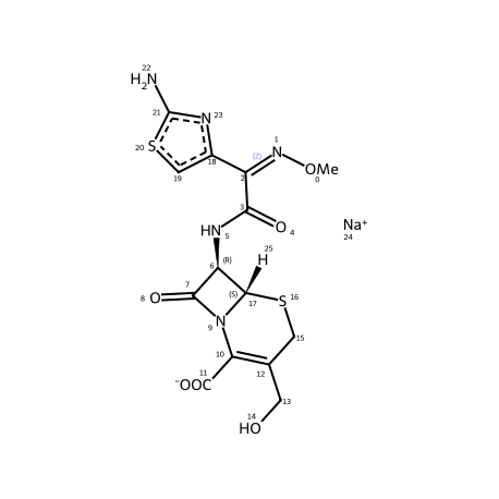 CO/N=C(\C(=O)N[C@@H]1C(=O)N2C(C(=O)[O-])=C(CO)CS[C@@H]12)c1csc(N)n1.[Na+]